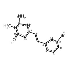 Cn1c(N)nc(C=Cc2cccc(Br)c2)cc1=O